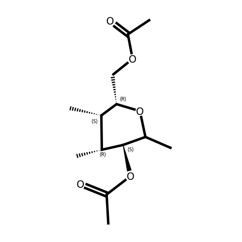 CC(=O)OC[C@@H]1OC(C)[C@@H](OC(C)=O)[C@H](C)[C@@H]1C